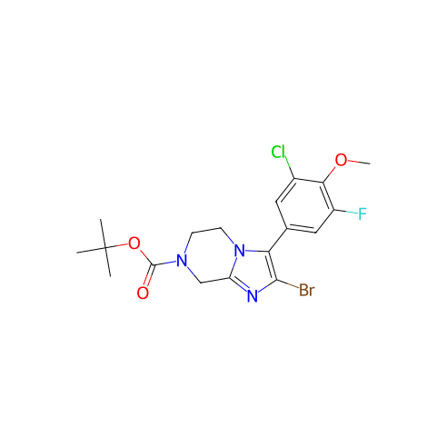 COc1c(F)cc(-c2c(Br)nc3n2CCN(C(=O)OC(C)(C)C)C3)cc1Cl